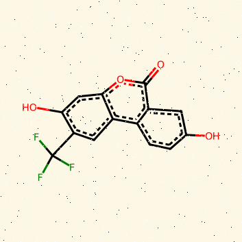 O=c1oc2cc(O)c(C(F)(F)F)cc2c2ccc(O)cc12